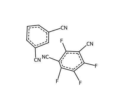 N#Cc1c(F)c(F)c(F)c(C#N)c1F.N#Cc1cccc(C#N)c1